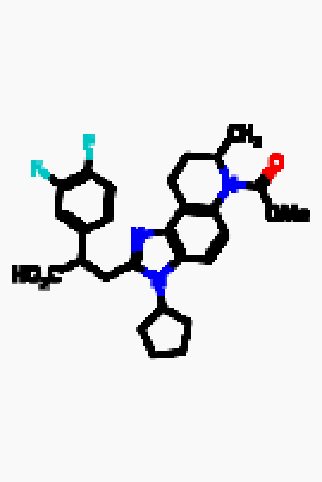 COC(=O)N1c2ccc3c(nc(CC(C(=O)O)c4ccc(F)c(F)c4)n3C3CCCC3)c2CCC1C